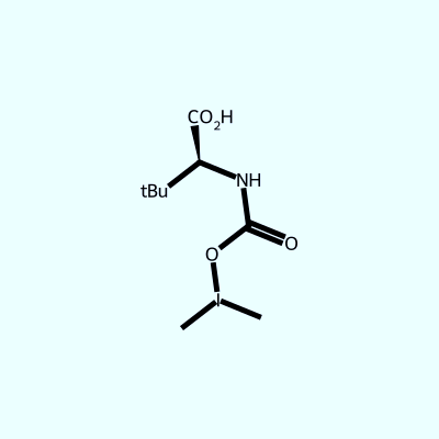 CI(C)OC(=O)N[C@H](C(=O)O)C(C)(C)C